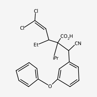 CCC(C=C(Cl)Cl)C(C(=O)O)(C(C)C)C(C#N)c1cccc(Oc2ccccc2)c1